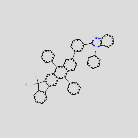 CC1(C)c2ccccc2-c2cc3c(-c4ccccc4)c4ccc(-c5cccc(-c6nc7ccccc7n6-c6ccccc6)c5)cc4c(-c4ccccc4)c3cc21